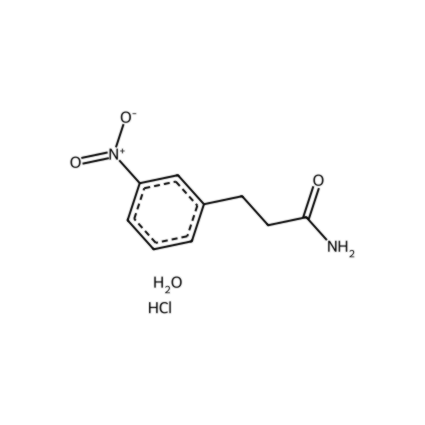 Cl.NC(=O)CCc1cccc([N+](=O)[O-])c1.O